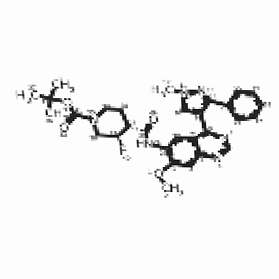 COc1cc2ncnc(-c3cn(C)nc3-c3ccccc3)c2cc1NC(=O)[C@H]1CCN(C(=O)OC(C)(C)C)C[C@@H]1F